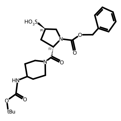 CC(C)(C)OC(=O)NC1CCN(C(=O)[C@@H]2C[C@@H](S(=O)(=O)O)CN2C(=O)OCc2ccccc2)CC1